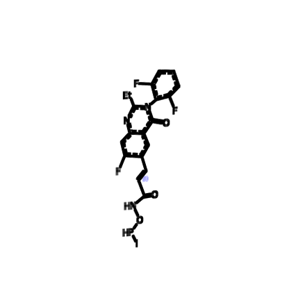 CCc1nc2cc(F)c(/C=C/C(=O)NOPI)cc2c(=O)n1-c1c(F)cccc1F